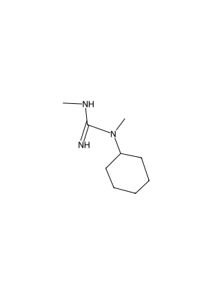 CNC(=N)N(C)C1CCCCC1